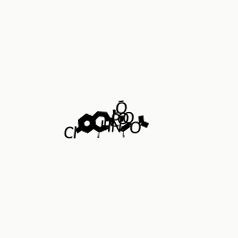 COCP(=O)(N[C@@H](C)C(=O)OC(C)C)N1CCc2ccc(Cl)cc2[C@@H](C)C1